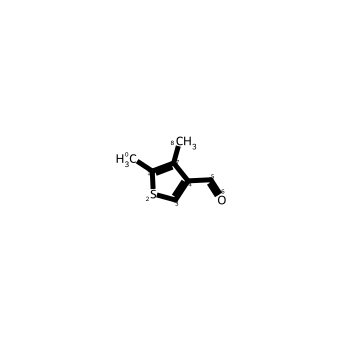 Cc1scc(C=O)c1C